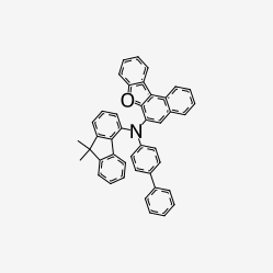 CC1(C)c2ccccc2-c2c(N(c3ccc(-c4ccccc4)cc3)c3cc4ccccc4c4c3oc3ccccc34)cccc21